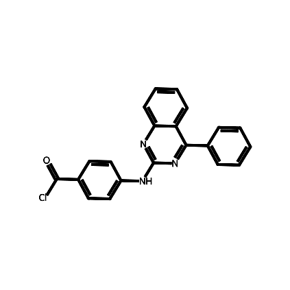 O=C(Cl)c1ccc(Nc2nc(-c3ccccc3)c3ccccc3n2)cc1